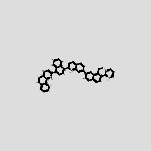 CCc1c(-c2ncccn2)ccc2ccc(-c3ccc4ccc(-c5ccc(-c6ccc7ccc8cccnc8c7n6)c6ccccc56)nc4c3)cc12